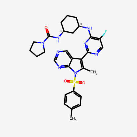 Cc1ccc(S(=O)(=O)n2c(C)c(-c3ncc(F)c(N[C@@H]4CCC[C@H](NC(=O)N5CCCC5)C4)n3)c3cncnc32)cc1